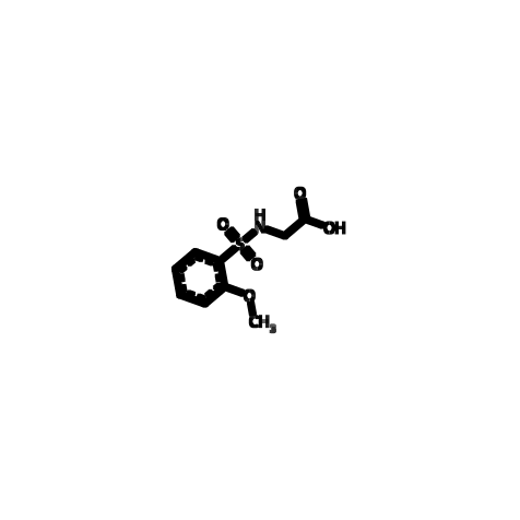 COc1ccccc1S(=O)(=O)NCC(=O)O